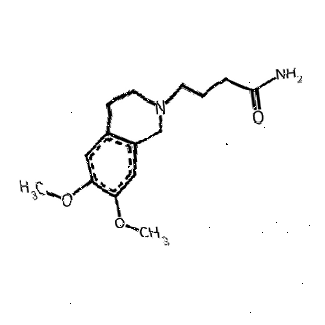 COc1cc2c(cc1OC)CN(CCCC(N)=O)CC2